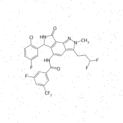 Cn1nc2c3c(c(NC(=O)c4cc(F)cc(C(F)(F)F)c4)cc2c1CCC(F)F)C(c1cc(F)ccc1Cl)NC3=O